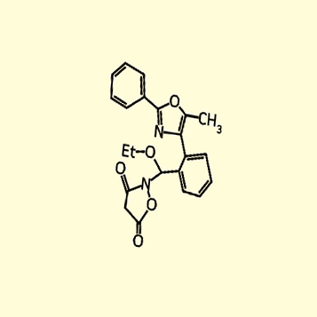 CCOC(c1ccccc1-c1nc(-c2ccccc2)oc1C)N1OC(=O)CC1=O